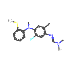 CCN(C)/C=N/c1cc(F)c(N(C)c2ccccc2SC(F)(F)F)cc1C